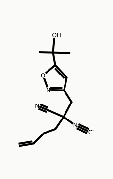 [C-]#[N+]C(C#N)(CCC=C)Cc1cc(C(C)(C)O)on1